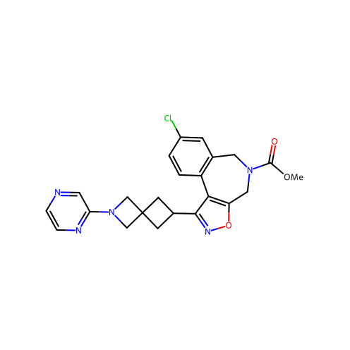 COC(=O)N1Cc2cc(Cl)ccc2-c2c(C3CC4(C3)CN(c3cnccn3)C4)noc2C1